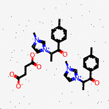 Cc1ccc(C(=O)C(C)[n+]2ccn(C)c2)cc1.Cc1ccc(C(=O)C(C)[n+]2ccn(C)c2)cc1.O=C([O-])CCC(=O)[O-]